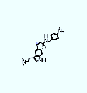 CN(C)CCc1c[nH]c2ccc(/C=C\C(=O)NCc3ccc(N(C)C)cc3)cc12